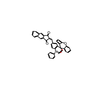 O=C1C(=Cc2ccc3c(c2)C2(c4ccccc4Oc4ccccc42)c2ccccc2N3c2ccccc2)C(=O)c2cc3ccccc3cc21